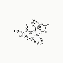 C=C(C)C(=O)OC(CC)(CC)C1CC2CCC1(COC)O2